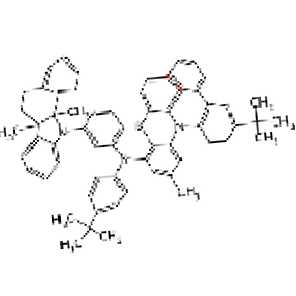 Cc1cc2c3c(c1)N(c1ccc(C(C)(C)C)cc1-c1ccccc1)c1ccccc1B3c1ccc(N3c4ccccc4C4(C)CCc5ccccc5C34C)cc1N2c1ccc(C(C)(C)C)cc1